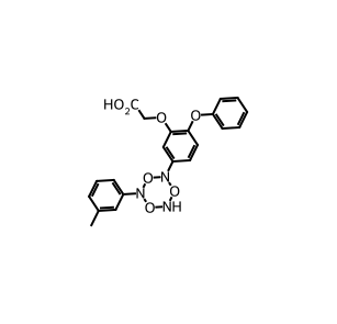 Cc1cccc(N2ONON(c3ccc(Oc4ccccc4)c(OCC(=O)O)c3)O2)c1